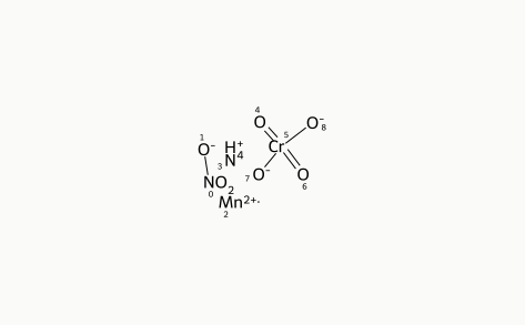 O=[N+]([O-])[O-].[Mn+2].[NH4+].[O]=[Cr](=[O])([O-])[O-]